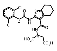 O=C(O)C[C@H](NC(=O)c1c(NC(=O)Nc2c(Cl)cccc2Cl)sc2c1CCCC2)C(=O)O